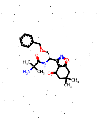 CC1(C)CC(=O)c2c([C@@H](COCc3ccccc3)NC(=O)C(C)(C)N)noc2C1